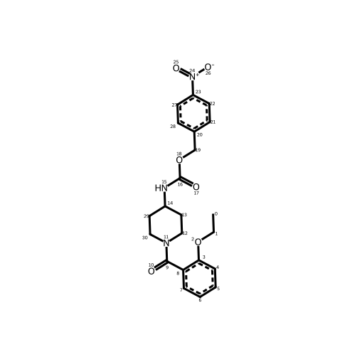 CCOc1ccccc1C(=O)N1CCC(NC(=O)OCc2ccc([N+](=O)[O-])cc2)CC1